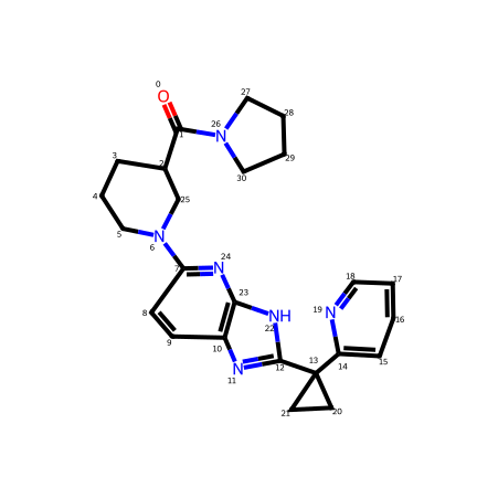 O=C(C1CCCN(c2ccc3nc(C4(c5ccccn5)CC4)[nH]c3n2)C1)N1CCCC1